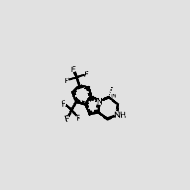 C[C@@H]1CNCc2cc3c(C(F)(F)F)cc(C(F)(F)F)cc3n21